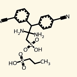 CCCS(=O)(=O)O.N#Cc1ccc(C(c2cccc(C#N)c2)C(N)(N)CS(=O)(=O)O)cc1